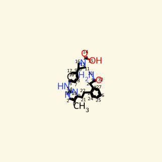 Cc1cnc(Nc2ccc(C3CN(C(=O)O)C3)cc2)nc1CCc1ccccc1CC(N)=O